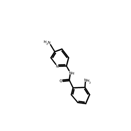 Nc1ccc(NC(=O)c2ccccc2N)nc1